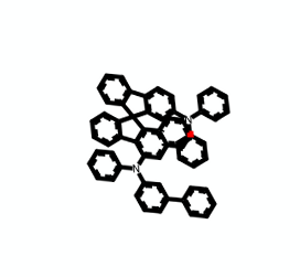 c1ccc(-c2cccc(N(c3ccccc3)c3cc4ccccc4c4c3-c3ccccc3C43c4ccccc4-c4ccc(N(c5ccccc5)c5ccccc5)cc43)c2)cc1